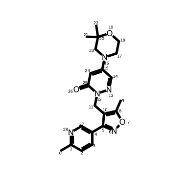 Cc1ccc(-c2noc(C)c2Cn2ncc(N3CCOC(C)(C)C3)cc2=O)cn1